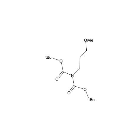 COCCCN(C(=O)OC(C)(C)C)C(=O)OC(C)(C)C